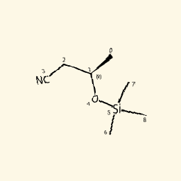 C[C@H](CC#N)O[Si](C)(C)C